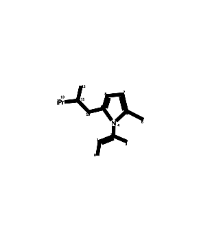 C/C=C(\C)n1c(C)ccc1CC(C)C(C)C